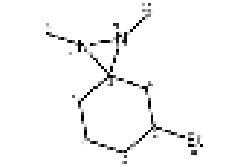 CCC1CCCC2(C1)N(C)N2C